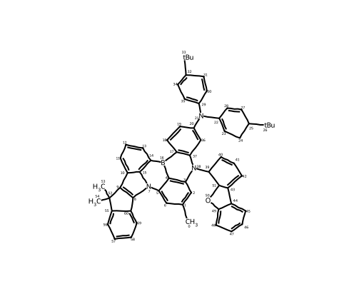 Cc1cc2c3c(c1)-n1c4c(c5cccc(c51)B3c1ccc(N(C3=CCC(C(C)(C)C)C=C3)c3ccc(C(C)(C)C)cc3)cc1N2C1C=CC=C2c3ccccc3OC21)C(C)(C)c1ccccc1-4